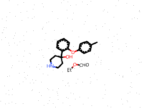 CCOC=O.Cc1ccc(Oc2ccccc2C2(O)CCNCC2)cc1